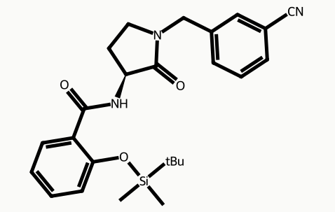 CC(C)(C)[Si](C)(C)Oc1ccccc1C(=O)N[C@H]1CCN(Cc2cccc(C#N)c2)C1=O